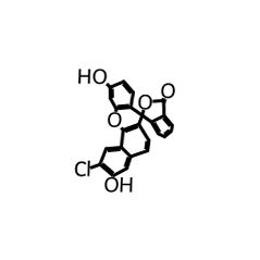 O=C1OC2(c3ccc(O)cc3Oc3c2ccc2cc(O)c(Cl)cc32)c2ccccc21